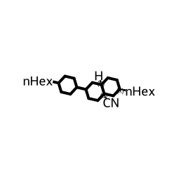 CCCCCCC1CCC(C2CC[C@]3(C#N)C[C@H](CCCCCC)CC[C@@H]3C2)CC1